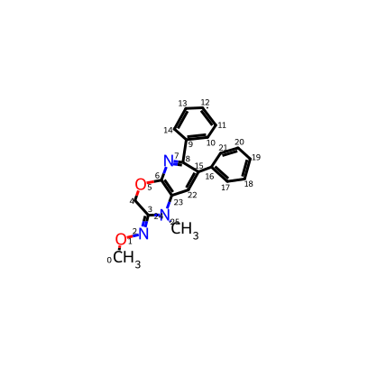 CON=C1COc2nc(-c3cc[c]cc3)c(-c3ccccc3)cc2N1C